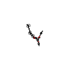 C#Cc1ccc(C#Cc2ccc(C#CC3(OC(=O)c4ccc5cc(OC(=O)C6CCC(C(=O)OCCCCCCOC(=O)C=C)CC6)ccc5c4)CCC(C4CCC(C)CC4)CC3)cc2)cc1